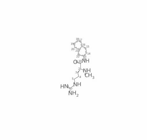 CN[C@@H](CCCNC(=N)N)C(=O)Nc1ccc2ccccc2c1